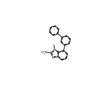 Cn1c(N)nc2cccc(-c3cccc(-c4ccccc4)c3)c21